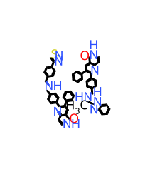 CC(NCc1ccc(-c2nc3cc[nH]c(=O)c3cc2-c2ccccc2)cc1)c1nc2ccccc2[nH]1.O=c1[nH]ccc2nc(-c3ccc(CNCc4ccc(-c5csnn5)cc4)cc3)c(-c3ccccc3)cc12